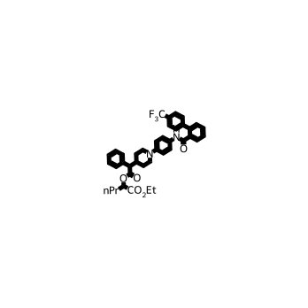 CCCC(OC(=O)C(c1ccccc1)C1CCN(c2ccc(NC(=O)c3ccccc3-c3ccc(C(F)(F)F)cc3)cc2)CC1)C(=O)OCC